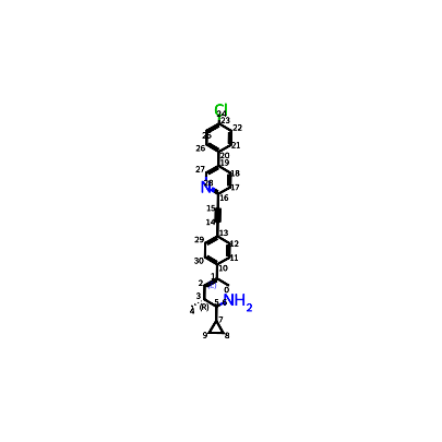 C/C(=C\[C@@H](C)C(N)C1CC1)c1ccc(C#Cc2ccc(-c3ccc(Cl)cc3)cn2)cc1